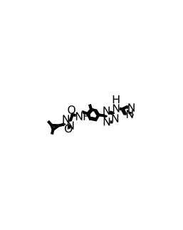 Cc1cc(-c2ncnc(Nc3cnn(C)c3)n2)ccc1CNC(=O)c1noc(C2C(C)C2C)n1